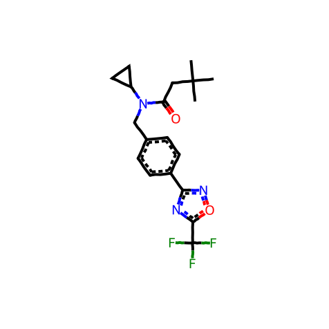 CC(C)(C)CC(=O)N(Cc1ccc(-c2noc(C(F)(F)F)n2)cc1)C1CC1